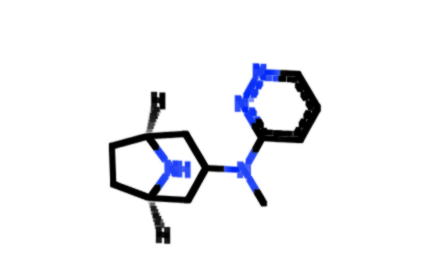 CN(c1cccnn1)C1C[C@H]2CC[C@@H](C1)N2